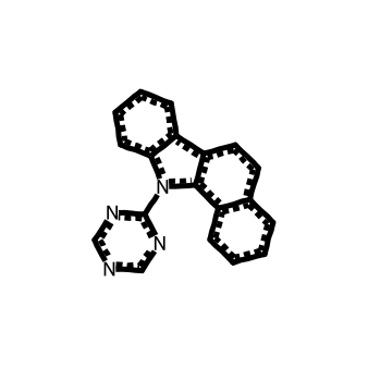 c1ccc2c(c1)ccc1c3ccccc3n(-c3ncncn3)c21